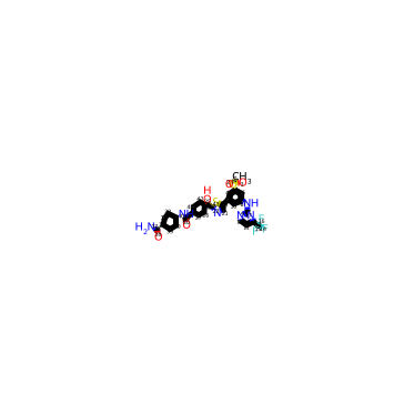 CS(=O)(=O)c1cc(Nc2nccc(C(F)(F)F)n2)cc(-c2cnc(C3(O)CCC(C(=O)N[C@H]4CC[C@@H](C(N)=O)CC4)CC3)s2)c1